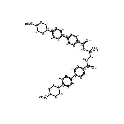 CCCCCCCCCCC1CCC(c2ccc(-c3ccc(C(=O)OCC(C)OC(=O)c4ccc(-c5ccc(C6CCC(CCCCCCCCCC)CC6)cc5)cc4)cc3)cc2)CC1